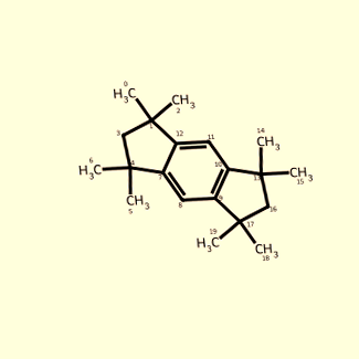 CC1(C)CC(C)(C)c2cc3c(cc21)C(C)(C)CC3(C)C